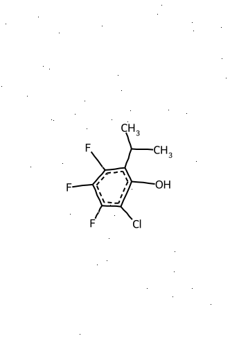 CC(C)c1c(O)c(Cl)c(F)c(F)c1F